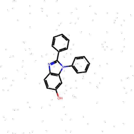 Oc1ccc2nc(-c3ccccc3)n(-c3ccccc3)c2c1